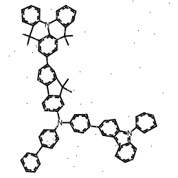 CC1(C)c2cc(-c3cc4c5c(c3)C(C)(C)c3ccccc3N5c3ccccc3C4(C)C)ccc2-c2ccc(N(c3ccc(-c4ccccc4)cc3)c3ccc(-c4ccc5c(c4)c4ccccc4n5-c4ccccc4)cc3)cc21